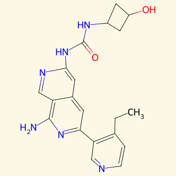 CCc1ccncc1-c1cc2cc(NC(=O)NC3CC(O)C3)ncc2c(N)n1